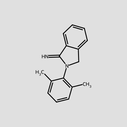 Cc1cccc(C)c1N1Cc2ccccc2C1=N